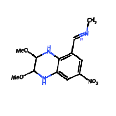 C/N=C/c1cc([N+](=O)[O-])cc2c1NC(OC)C(OC)N2